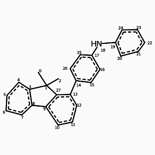 CC1(C)c2ccccc2-c2cccc(-c3ccc(Nc4ccccc4)cc3)c21